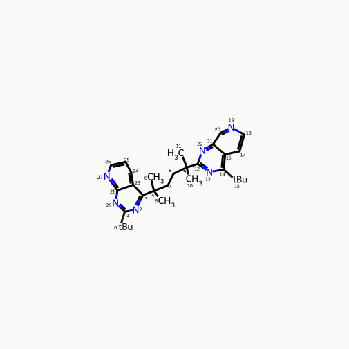 CC(C)(C)c1nc(C(C)(C)CCC(C)(C)c2nc(C(C)(C)C)c3ccncc3n2)c2cccnc2n1